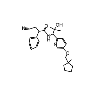 CC1(COc2ccc(C(NC(=O)C(CC#N)c3ccccc3)C(C)(C)O)nc2)CCCC1